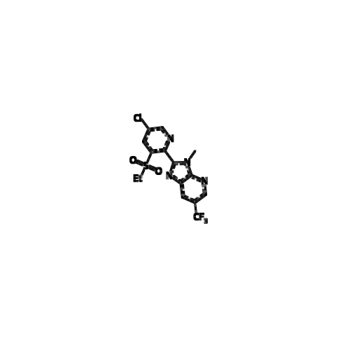 CCS(=O)(=O)c1cc(Cl)cnc1-c1nc2cc(C(F)(F)F)cnc2n1C